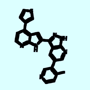 Cc1ccncc1-c1cnc2[nH]nc(-c3cc4c(-c5ccsc5)ccnc4[nH]3)c2c1